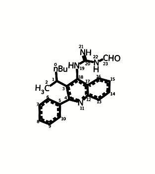 CCCCC(C)c1c(-c2ccccc2)nc2ccccc2c1NC(=N)NC=O